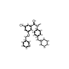 CN(C(=O)c1cc(Cl)cc(OCc2cccnc2)c1)c1ccc(CN2CCCCC2)cc1